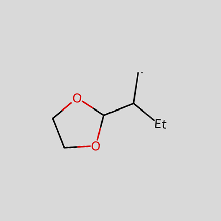 [CH2]C(CC)C1OCCO1